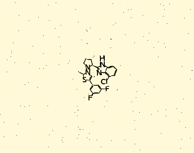 CC1SC(c2cc(F)cc(F)c2)=[C]N1N1CC[C@H](C)[C@H]1c1nc2c(Cl)cccc2[nH]1